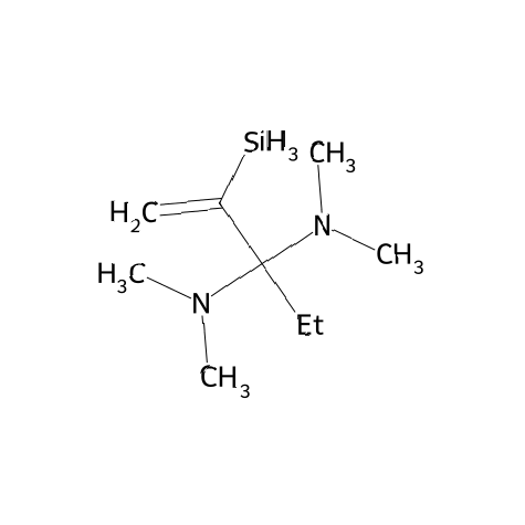 C=C([SiH3])C(CC)(N(C)C)N(C)C